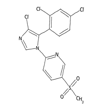 CS(=O)(=O)c1ccc(-n2cnc(Cl)c2-c2ccc(Cl)cc2Cl)nc1